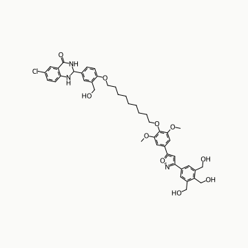 COc1cc(-c2cc(-c3cc(CO)c(CO)c(CO)c3)no2)cc(OC)c1OCCCCCCCCCOc1ccc(C2NC(=O)c3cc(Cl)ccc3N2)cc1CO